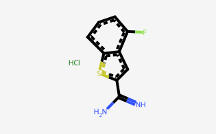 Cl.N=C(N)c1cc2c(F)cccc2s1